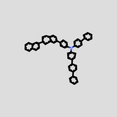 c1ccc(-c2ccc(-c3ccc(N(c4ccc(-c5ccccc5)cc4)c4ccc(-c5ccc6ccc(-c7ccc8ccccc8c7)cc6c5)cc4)cc3)cc2)cc1